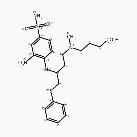 CN(CCCC(=O)O)CCC(CSc1ccccc1)Nc1ccc(S(N)(=O)=O)cc1[N+](=O)[O-]